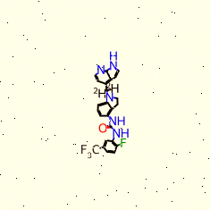 [2H]C([2H])(c1ccnc2[nH]ccc12)N1CCc2c(NC(=O)Nc3cc(C(F)(F)F)ccc3F)cccc21